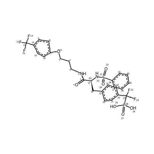 O=C(NCCCOc1ccc(C(F)(F)F)cc1)[C@H](Cc1ccc(C(F)(F)P(=O)(O)O)cc1)NS(=O)(=O)c1ccccc1